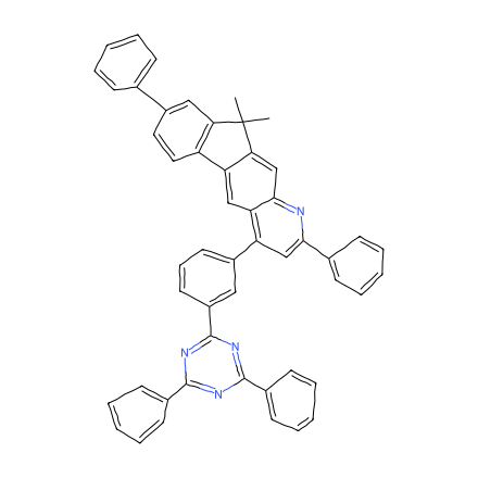 CC1(C)c2cc(-c3ccccc3)ccc2-c2cc3c(-c4cccc(-c5nc(-c6ccccc6)nc(-c6ccccc6)n5)c4)cc(-c4ccccc4)nc3cc21